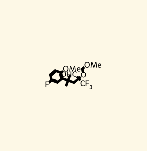 COCOC(C=O)(CC(C)(C)c1cc(F)ccc1OC)C(F)(F)F